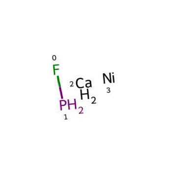 FP.[CaH2].[Ni]